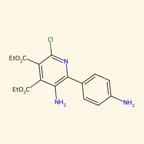 CCOC(=O)c1c(Cl)nc(-c2ccc(N)cc2)c(N)c1C(=O)OCC